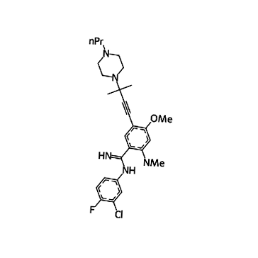 CCCN1CCN(C(C)(C)C#Cc2cc(C(=N)Nc3ccc(F)c(Cl)c3)c(NC)cc2OC)CC1